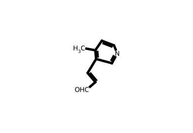 Cc1ccncc1/C=C/C=O